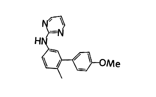 COc1ccc(-c2cc(Nc3ncccn3)ccc2C)cc1